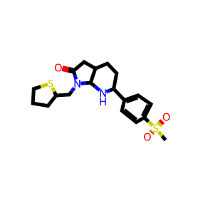 CS(=O)(=O)c1ccc(C2CCC3CC(=O)N(CC4CCCS4)C3N2)cc1